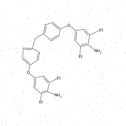 CCc1cc(Oc2ccc(Cc3ccc(Oc4cc(CC)c(N)c(CC)c4)cc3)cc2)cc(CC)c1N